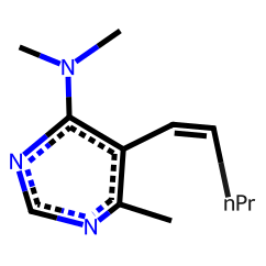 CCC/C=C\c1c(C)ncnc1N(C)C